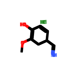 COC1=C(O)C=CC(C=N)C1.Cl